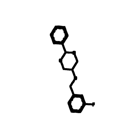 Fc1cccc(COC2COC(c3ccccc3)OC2)c1